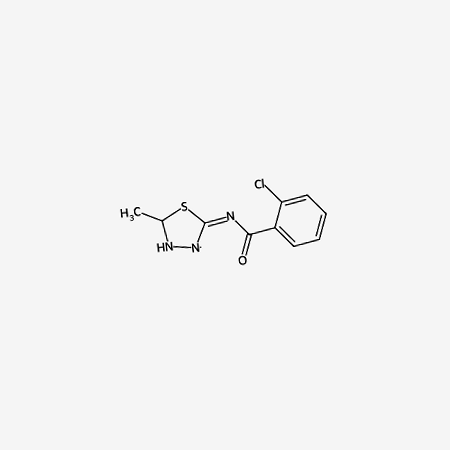 CC1N[N]C(=NC(=O)c2ccccc2Cl)S1